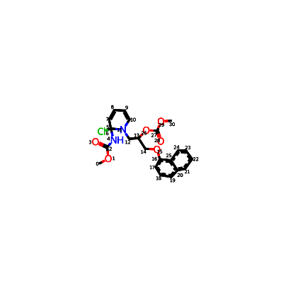 COC(=O)NC1(Cl)C=CC=CN1CC(COc1cccc2ccccc12)OC(=O)OC